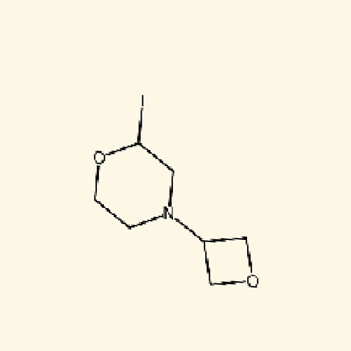 IC1CN(C2COC2)CCO1